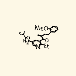 C=C(CCc1ccccc1OC)C(=O)c1cc(-c2nnc(C(C)F)o2)cnc1CC